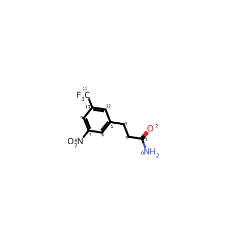 NC(=O)CCc1cc([N+](=O)[O-])cc(C(F)(F)F)c1